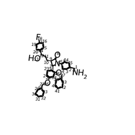 NCc1ccc(N2C(=O)[C@H](CC[C@H](O)c3ccc(F)cc3)[C@H]2c2ccc(OCc3ccccc3)cc2OCc2ccccc2)cc1